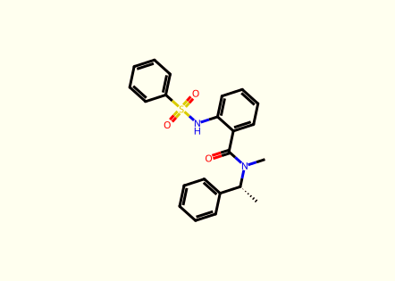 C[C@H](c1ccccc1)N(C)C(=O)c1ccccc1NS(=O)(=O)c1ccccc1